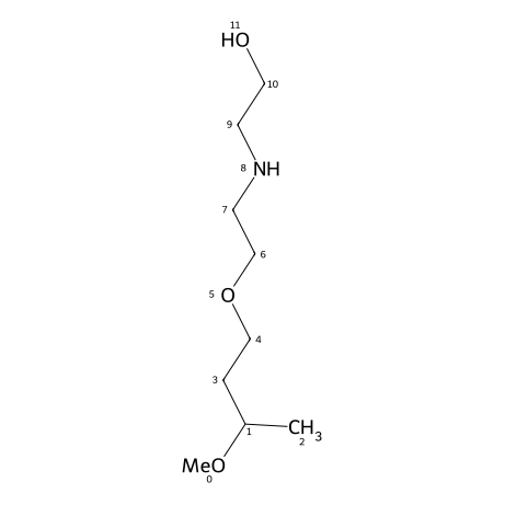 COC(C)CCOCCNCCO